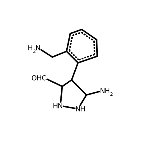 NCc1ccccc1C1C(N)NNC1C=O